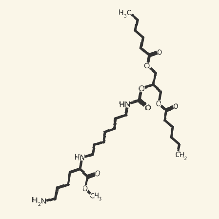 CCCCCC(=O)OCC(COC(=O)CCCCC)OC(=O)NCCCCCCCNC(CCCCN)C(=O)OC